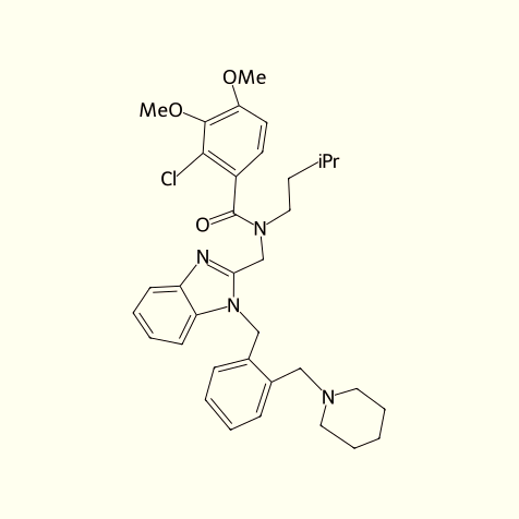 COc1ccc(C(=O)N(CCC(C)C)Cc2nc3ccccc3n2Cc2ccccc2CN2CCCCC2)c(Cl)c1OC